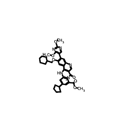 COC(=O)c1cc(Nc2c(C(N)=O)cnc3cc(-c4cnc(OC)nc4OC)c(OCC4CCCCC4)cc23)cc(C2CCCC2)c1